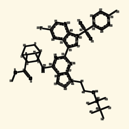 COC(=O)C1C2CCC(CC2)C1Nc1nc(-c2cn(S(=O)(=O)c3ccc(C)cc3)c3ncc(F)cc23)nc2c1ccn2CCO[Si](C)(C)C(C)(C)C